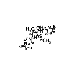 CCSc1nc(N2CCN3C(=O)CCC3C2)cc(C)c1C(=O)NCc1cccc(F)c1